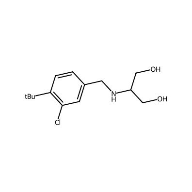 CC(C)(C)c1ccc(CNC(CO)CO)cc1Cl